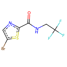 O=C(NCC(F)(F)F)c1ncc(Br)s1